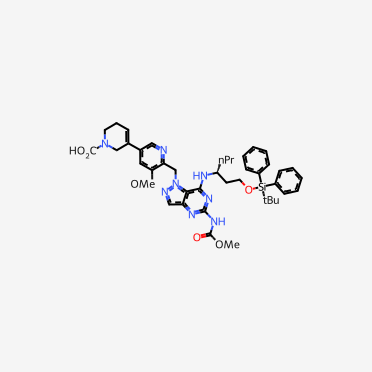 CCC[C@@H](CCO[Si](c1ccccc1)(c1ccccc1)C(C)(C)C)Nc1nc(NC(=O)OC)nc2cnn(Cc3ncc(C4=CCCN(C(=O)O)C4)cc3OC)c12